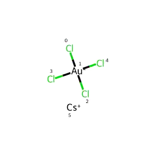 [Cl][Au-]([Cl])([Cl])[Cl].[Cs+]